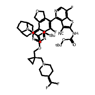 CC(C)(C)OC(=O)Nc1sc2c(F)cnc(-c3c4c(c5c(N6C7CCC6CN(C(=O)OC(C)(C)C)C7)nc(OCC6(CN7CCC(=C(F)F)CC7)CC6)nc5c3F)COC4)c2c1C#N